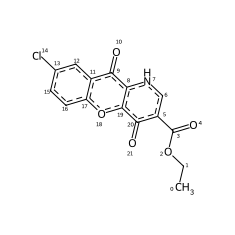 CCOC(=O)c1c[nH]c2c(=O)c3cc(Cl)ccc3oc2c1=O